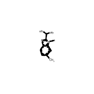 CCCC(CCC)c1nc2ccc(C)cc2n1I